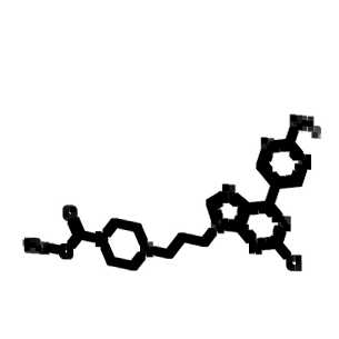 CC(C)(C)OC(=O)N1CCN(CCCn2cnc3c(-c4cnc(N)nc4)nc(Cl)nc32)CC1